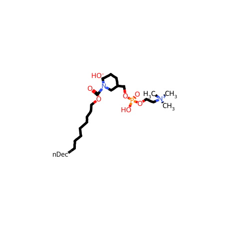 CCCCCCCCCCCCCCCCCCOC(=O)N1CCCC(COP(=O)(O)OCC[N+](C)(C)C)C1.[OH-]